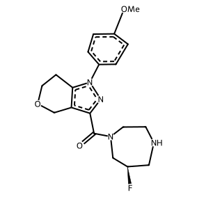 COc1ccc(-n2nc(C(=O)N3CCNC[C@@H](F)C3)c3c2CCOC3)cc1